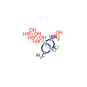 CN1CCCN2CCN(C)CCC(Cl)(Cl)N(CC1)CC2.OB(O)F.OB(O)F.OB(O)F.OB(O)F